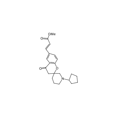 COC(=O)C=Cc1ccc2c(c1)C(=O)CC1(CCCN(C3CCCC3)C1)O2